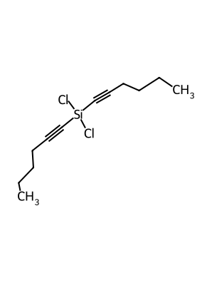 CCCCC#C[Si](Cl)(Cl)C#CCCCC